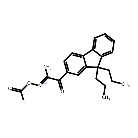 CCCC1(CCC)c2ccccc2-c2ccc(C(=O)/C(C)=N/OC(=O)I)cc21